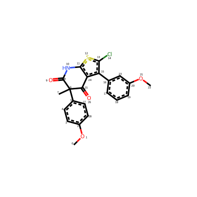 COc1ccc(C2(C)C(=O)Nc3sc(Cl)c(-c4cccc(OC)c4)c3C2=O)cc1